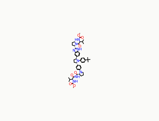 COC(=O)N[C@H](C(=O)NC(=O)[C@@H]1CCCN1c1ccc([C@@H]2CC[C@@H](c3ccc4[nH]c([C@@H]5CCCN5C(=O)[C@@H](NC(=O)OC)C(C)C)nc4c3)N2c2ccc(C(C)(C)C)cc2)cc1)C(C)C